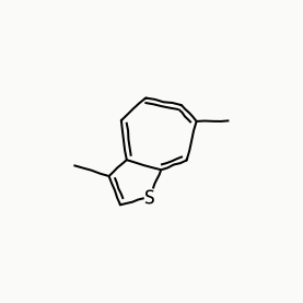 CC1=C=CC=c2c(C)csc2=C1